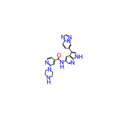 O=C(Nc1cnc2[nH]cc(-c3ccc4ncnn4c3)c2c1)c1ccnc(N2CCNCC2)c1